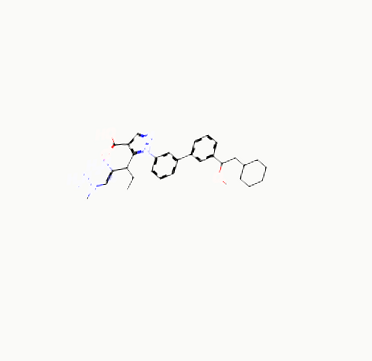 CCC(/C(N)=C/N(C)N)c1c(C(=O)O)cnn1-c1cccc(-c2cccc(C(CC3CCCCC3)OC)c2)c1